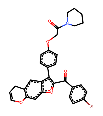 O=C(c1ccc(Br)cc1)c1oc2cc3c(cc2c1-c1ccc(OCC(=O)N2CCCCC2)cc1)CC=CO3